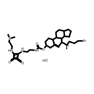 CC(C)CCC[C@@H](C)C1C=C2CC(OC(=O)NCCNc3c(NCCN(C)C)c(=O)c3=O)CCC2C2CCC3CCCC3C21.Cl